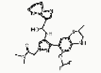 CC1CNc2cc(OC(F)F)c(-c3nn(CC(=O)N(C)C)cc3NC(O)c3cnn4cccnc34)cc2S1